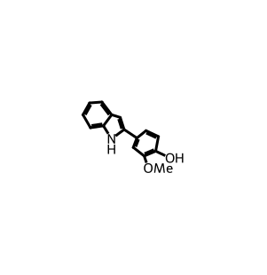 COc1cc(-c2cc3ccccc3[nH]2)ccc1O